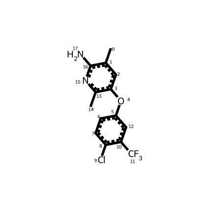 Cc1cc(Oc2ccc(Cl)c(C(F)(F)F)c2)c(C)nc1N